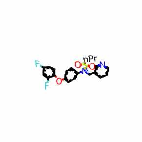 CCCS(=O)(=O)N(Cc1cccnc1)c1ccc(Oc2ccc(F)cc2F)cc1